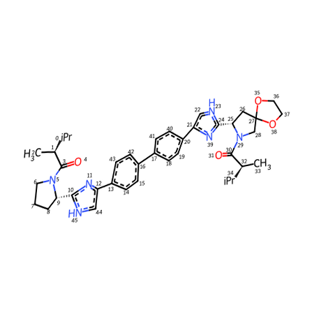 CC(C)[C@H](C)C(=O)N1CCC[C@H]1c1nc(-c2ccc(-c3ccc(-c4c[nH]c([C@@H]5CC6(CN5C(=O)[C@@H](C)C(C)C)OCCO6)n4)cc3)cc2)c[nH]1